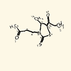 CC(=O)CCN1C(=S)SC(C(C)=O)C1C